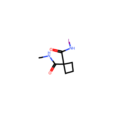 CNC(=O)C1(C(=O)NI)CCC1